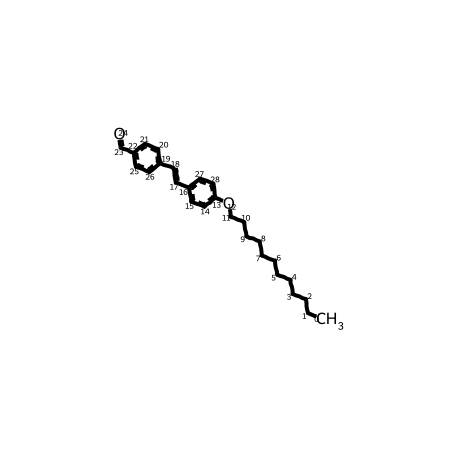 CCCCCCCCCCCCOc1ccc(C=Cc2ccc(C=O)cc2)cc1